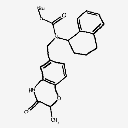 CC1Oc2ccc(CN(C(=O)OC(C)(C)C)C3CCCc4ccccc43)cc2NC1=O